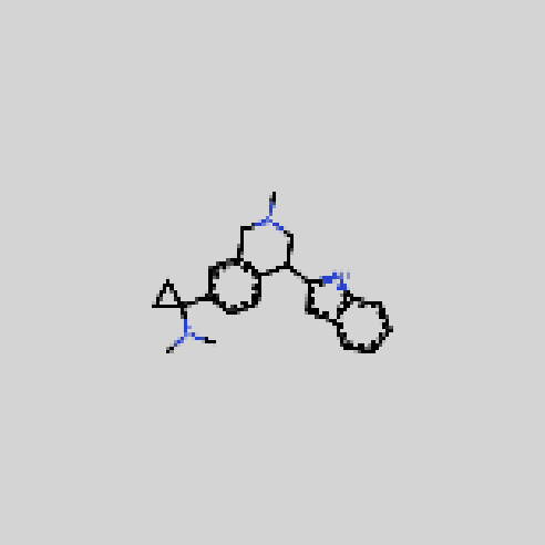 CN1Cc2cc(C3(N(C)C)CC3)ccc2C(c2cc3ccccc3[nH]2)C1